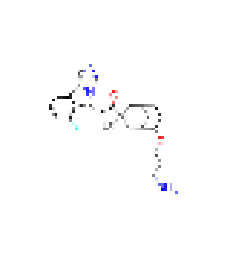 CCC1(C(=O)CC2c3c(F)cccc3-c3cncn32)CC2CCC(OCCCN)C(C2)C1